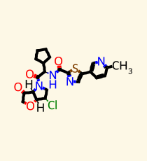 Cc1ccc(-c2cnc(C(=O)N[C@H](C(=O)N3C[C@H](Cl)[C@H]4OCC(=O)[C@H]43)C3CCCC3)s2)cn1